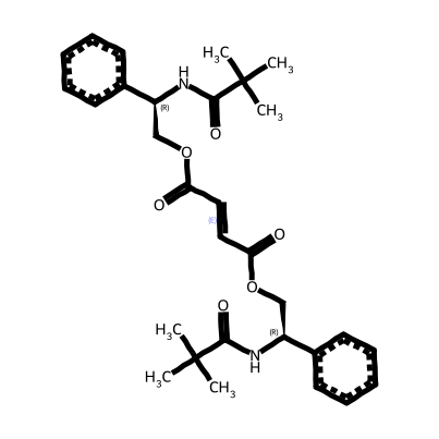 CC(C)(C)C(=O)N[C@@H](COC(=O)/C=C/C(=O)OC[C@H](NC(=O)C(C)(C)C)c1ccccc1)c1ccccc1